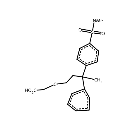 CNS(=O)(=O)c1ccc(C(C)(CCCCC(=O)O)c2ccccc2)cc1